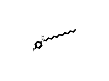 CCCCCCCCCCCCNc1ccc(F)cc1